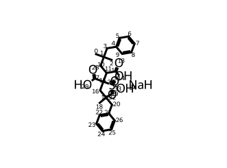 CC(C)(Cc1ccccc1)CC(C(=O)O)C(CC(C)(C)Cc1ccccc1)(C(=O)O)S(=O)(=O)O.[NaH]